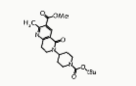 COC(=O)c1cc2c(nc1C)CCN(C1CCN(C(=O)OC(C)(C)C)CC1)C2=O